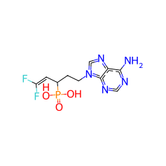 Nc1ncnc2c1ncn2CCC(C=C(F)F)P(=O)(O)O